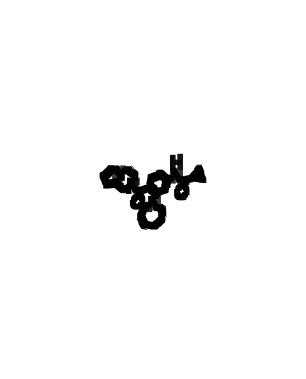 O=C(Nc1ccc(C(=O)N2CCn3cccc3C2)c(N2CCCCCC2)c1)C1CC1